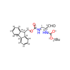 CC(C)(C)OC(=O)N[C@H](C=O)CNC(=O)OCC1c2ccccc2-c2ccccc21